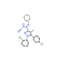 Cc1c(C(=NC2CCCCC2)NC#N)nn(-c2ccccc2Cl)c1-c1ccc(Cl)cc1